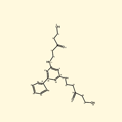 O=C(CCO)CCNc1nc(NCCC(=O)CCO)nc(-c2ccccc2)n1